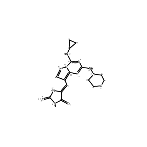 C=c1[nH]c(=O)/c(=C/c2cnn3c(NC4CC4)nc(NN4CCOCC4)nc23)[nH]1